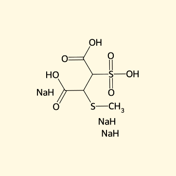 CSC(C(=O)O)C(C(=O)O)S(=O)(=O)O.[NaH].[NaH].[NaH]